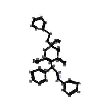 CCCC1(CCc2ccccc2)CC(O)=C(C(/C=C/c2ccccc2)c2ccccc2)C(=O)O1